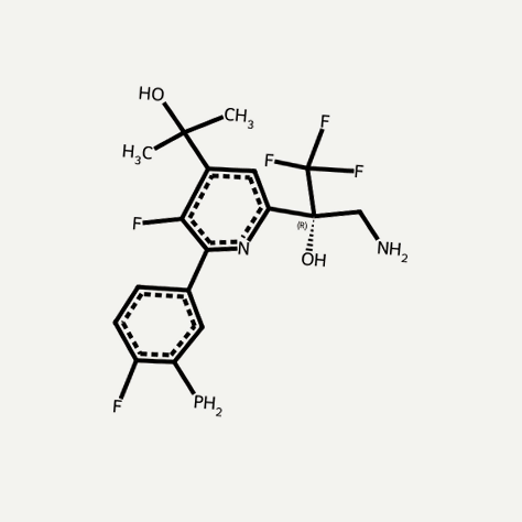 CC(C)(O)c1cc([C@](O)(CN)C(F)(F)F)nc(-c2ccc(F)c(P)c2)c1F